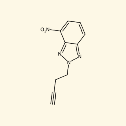 C#CCCn1nc2cccc([N+](=O)[O-])c2n1